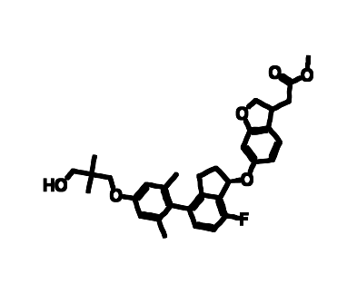 COC(=O)CC1COc2cc(O[C@@H]3CCc4c(-c5c(C)cc(OCC(C)(C)CO)cc5C)ccc(F)c43)ccc21